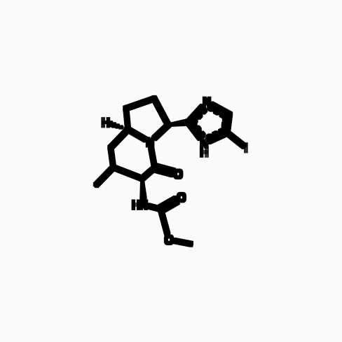 COC(=O)N[C@@H]1C(=O)N2[C@H](CC[C@H]2c2ncc(I)[nH]2)CC1C